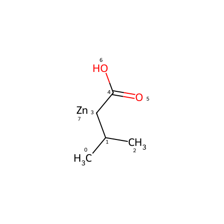 CC(C)CC(=O)O.[Zn]